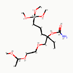 CCC(CCC[Si](OC)(OC)OC)(COCCOC(C)OC)OC(N)=O